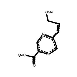 COC/C=C\c1cnc(C(=O)OC)cn1